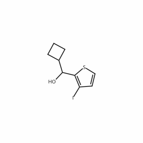 OC(c1sccc1I)C1CCC1